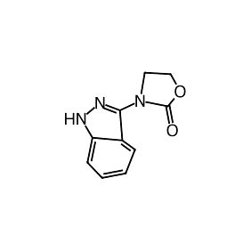 O=C1OCCN1c1n[nH]c2ccccc12